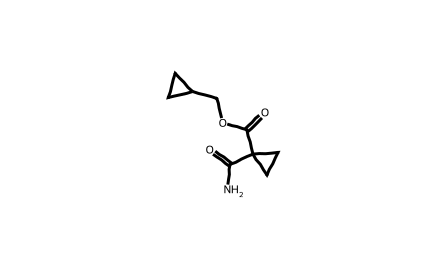 NC(=O)C1(C(=O)OCC2CC2)CC1